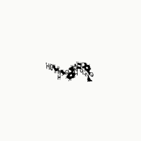 Cc1ccc(C(=O)NC2CC2)cc1-n1ccnc(NC2(c3ccccc3OCCNCCCO)CC2)c1=O